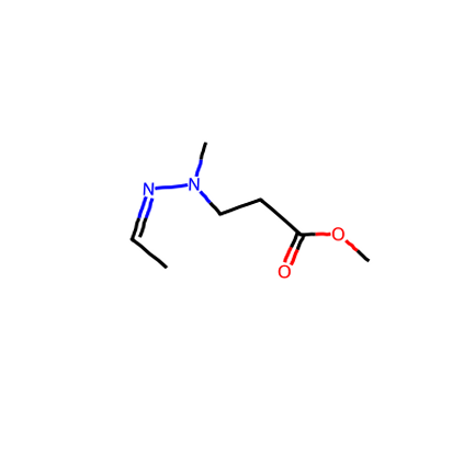 C/C=N\N(C)CCC(=O)OC